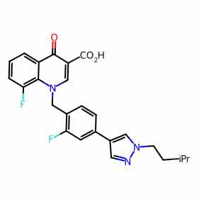 CC(C)CCn1cc(-c2ccc(Cn3cc(C(=O)O)c(=O)c4cccc(F)c43)c(F)c2)cn1